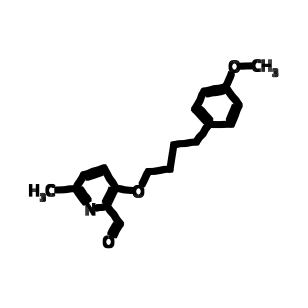 COc1ccc(CCCCOc2ccc(C)nc2C=O)cc1